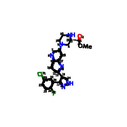 COC(=O)[C@@H]1CN(c2cnc3ccc(-c4c[nH]nc4-c4cc(Cl)ccc4F)nc3c2)CCN1